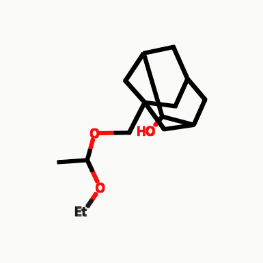 CCOC(C)OCC12CC3CC(C1)C(O)C(C3)C2